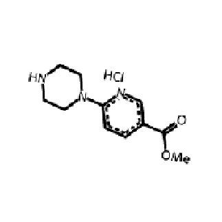 COC(=O)c1ccc(N2CCNCC2)nc1.Cl